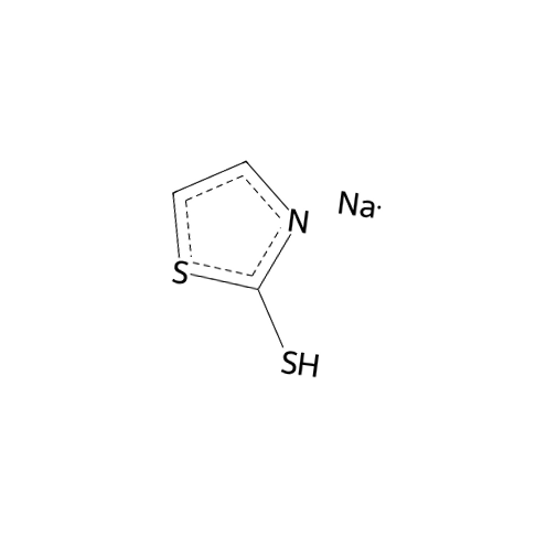 Sc1nccs1.[Na]